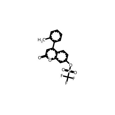 Cc1ccccc1-c1cc(=O)oc2cc(OS(=O)(=O)C(F)(F)F)ccc12